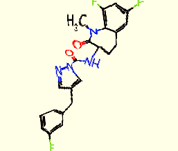 CN1C(=O)C(NC(=O)n2cc(Cc3cccc(F)c3)cn2)CCc2cc(F)cc(F)c21